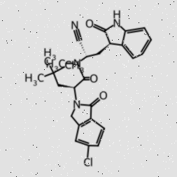 CN(C(=O)[C@H](CC(C)(C)C)N1Cc2cc(Cl)ccc2C1=O)[C@H](C#N)C[C@H]1C(=O)Nc2ccccc21